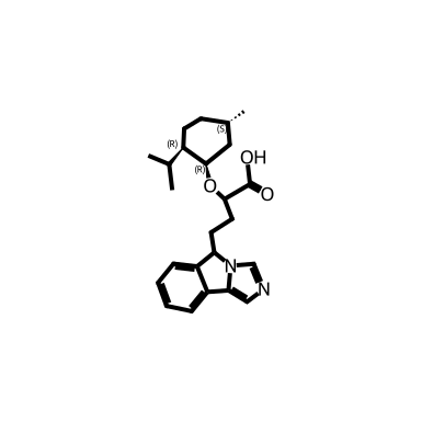 CC(C)[C@H]1CC[C@H](C)C[C@H]1OC(CCC1c2ccccc2-c2cncn21)C(=O)O